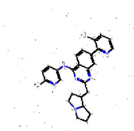 FC(F)(F)c1ccc(Nc2nc(CC3CCN4CCCC34)nc3cc(-c4ncccc4C(F)(F)F)ccc23)cn1